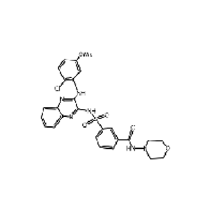 COc1ccc(Cl)c(Nc2nc3ccccc3nc2NS(=O)(=O)c2cccc(C(=O)NN3CCOCC3)c2)c1